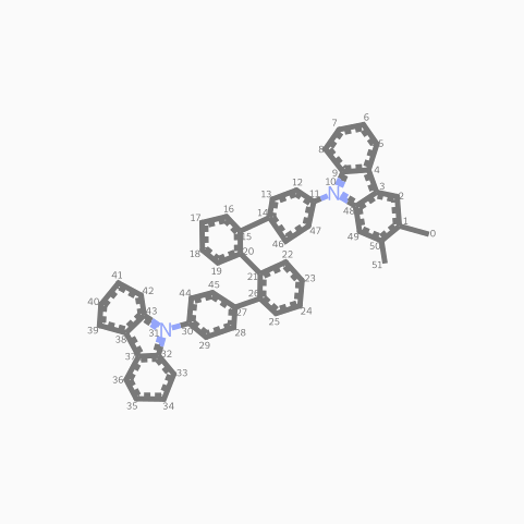 Cc1cc2c3ccccc3n(-c3ccc(-c4ccccc4-c4ccccc4-c4ccc(-n5c6ccccc6c6ccccc65)cc4)cc3)c2cc1C